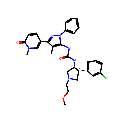 COCCN1C[C@@H](NC(=O)Nc2c(C)c(-c3ccc(=O)n(C)c3)nn2-c2ccccc2)[C@H](c2cccc(Cl)c2)C1